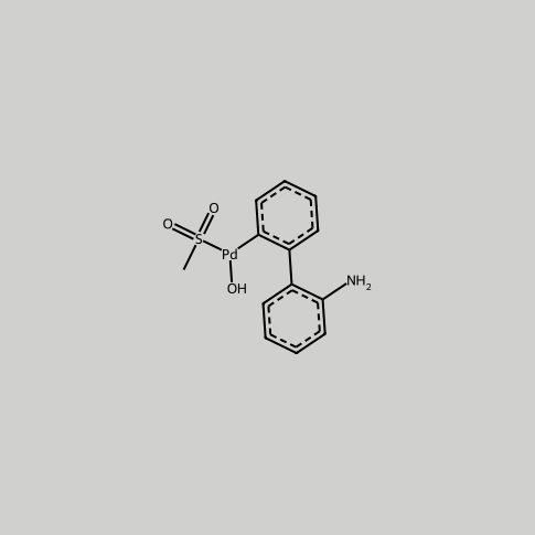 C[S](=O)(=O)[Pd]([OH])[c]1ccccc1-c1ccccc1N